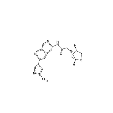 Cn1cc(-c2cc3cc(NC(=O)CN4C[C@@H]5C[C@H]4CO5)ncc3cn2)cn1